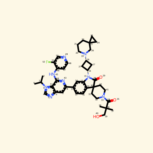 CC(C)n1cnc2cc(-c3ccc4c(c3)N([C@H]3C[C@@H](N5CCCC6(CC6)C5)C3)C(=O)C43CCN(C(=O)C(C)(C)CO)CC3)nc(Nc3ccncc3F)c21